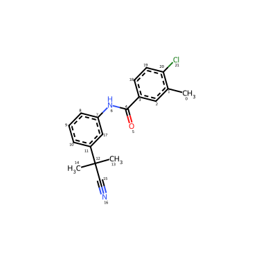 Cc1cc(C(=O)Nc2cccc(C(C)(C)C#N)c2)ccc1Cl